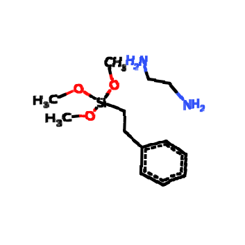 CO[Si](CCc1ccccc1)(OC)OC.NCCN